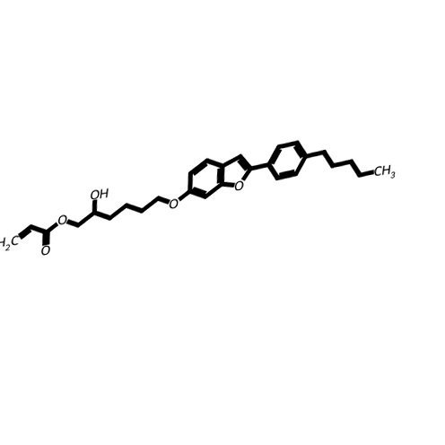 C=CC(=O)OCC(O)CCCCOc1ccc2cc(-c3ccc(CCCCC)cc3)oc2c1